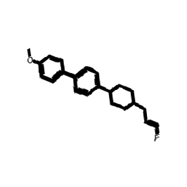 COc1ccc(-c2ccc(C3CCC(C/C=C/F)CC3)cc2)cc1